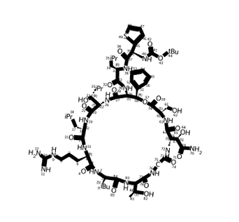 CC[C@H](C)C1NC(=O)[C@@H](CCCNC(=N)N)NC(=O)[C@H](CC(C)C)NC(=O)[C@H]([C@H](O)C(C)C)NC(=O)[C@@H](NC(=O)[C@@H](CC(C)C)NC(=O)[C@H](NC(=O)OC(C)(C)C)c2cccs2)[C@@H](c2ccccc2)OC(=O)[C@H](CO)NC(=O)[C@H]([C@H](O)C(N)=O)NC(=O)CNC(=O)C([C@H](C)O)NC1=O